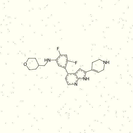 Fc1cc(F)c(-c2ccnc3[nH]c(C4=CCNCC4)cc23)cc1NCC1CCOCC1